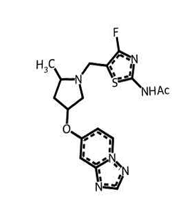 CC(=O)Nc1nc(F)c(CN2CC(Oc3ccn4ncnc4c3)CC2C)s1